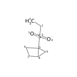 CCS(=O)(=O)C12CCC1C2